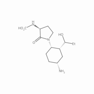 CCC(O)[C@@H]1C[C@H](N)CC[C@@H]1N1CC[C@H](NC(=O)O)C1=O